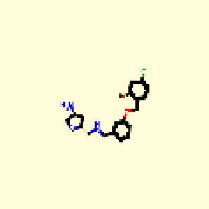 N[C@@H]1CN[C@@H](CNCc2cccc(OCc3ccc(Cl)cc3Br)c2)C1